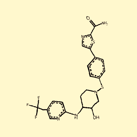 NC(=O)c1ncc(-c2ccc(SN3CCC(Nc4ccc(C(F)(F)F)cn4)C(O)C3)cc2)s1